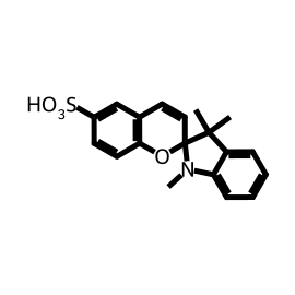 CN1c2ccccc2C(C)(C)C12C=Cc1cc(S(=O)(=O)O)ccc1O2